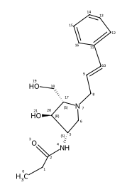 CCC(=O)N[C@H]1CN(CC=Cc2ccccc2)[C@@H](CO)[C@@H]1O